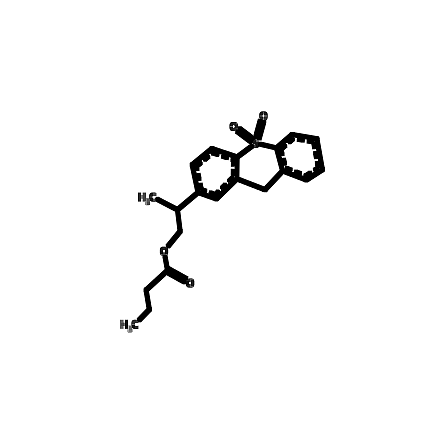 CCCC(=O)OCC(C)c1ccc2c(c1)Cc1ccccc1S2(=O)=O